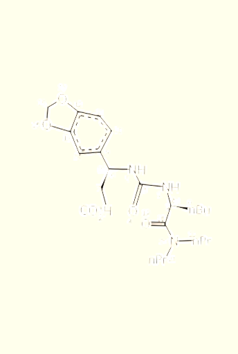 CCCC[C@H](NC(=O)N[C@@H](CC(=O)O)c1ccc2c(c1)OCO2)C(=O)N(CCC)CCC